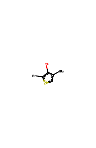 CC(C)c1scc(C(C)(C)C)c1O